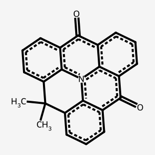 CC1(C)c2cccc3c(=O)c4cccc5c(=O)c6cccc1c6n(c23)c45